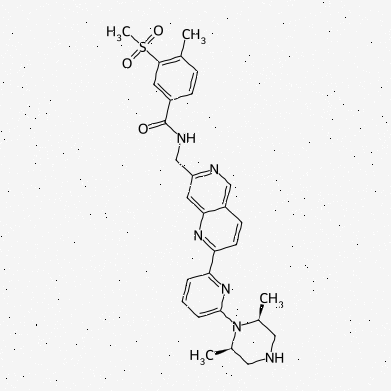 Cc1ccc(C(=O)NCc2cc3nc(-c4cccc(N5[C@H](C)CNC[C@@H]5C)n4)ccc3cn2)cc1S(C)(=O)=O